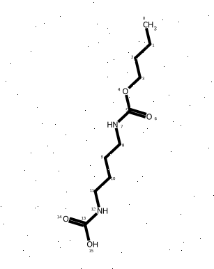 CCCCOC(=O)NCCCCNC(=O)O